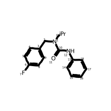 CC(C)N(Cc1ccc(F)cc1)C(=O)Nc1ccccc1